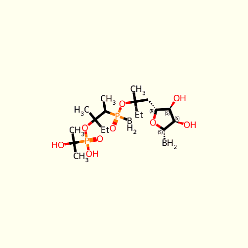 B[C@@H]1O[C@H](CC(C)(CC)OP(B)(=O)C(C)C(C)(CC)OP(=O)(O)C(C)(C)O)[C@@H](O)[C@H]1O